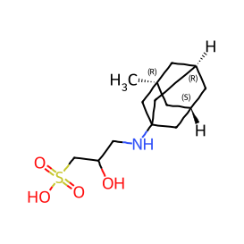 C[C@]12C[C@@H]3C[C@@H](CC(NCC(O)CS(=O)(=O)O)(C3)C1)C2